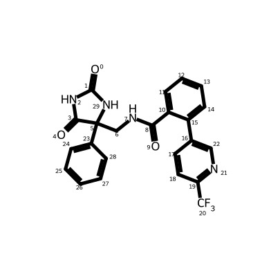 O=C1NC(=O)C(CNC(=O)c2ccccc2-c2ccc(C(F)(F)F)nc2)(c2ccccc2)N1